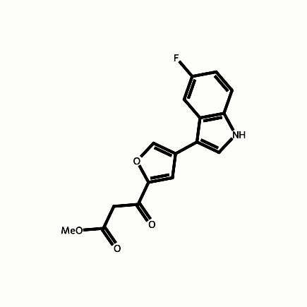 COC(=O)CC(=O)c1cc(-c2c[nH]c3ccc(F)cc23)co1